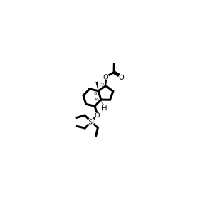 CC[Si](CC)(CC)OC1CCC[C@]2(C)[C@@H](OC(C)=O)CC[C@@H]12